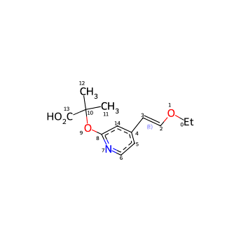 CCO/C=C/c1ccnc(OC(C)(C)C(=O)O)c1